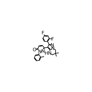 Cc1ccccc1-n1nc(-c2c(-c3ccc(F)cc3F)nn3c2NCC(C)(C)C3)ccc1=O